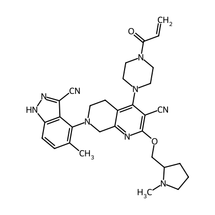 C=CC(=O)N1CCN(c2c(C#N)c(OCC3CCCN3C)nc3c2CCN(c2c(C)ccc4[nH]nc(C#N)c24)C3)CC1